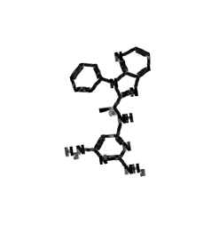 C[C@H](Nc1cc(N)nc(N)n1)c1nc2cccnc2n1-c1ccccc1